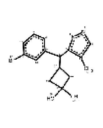 Cn1cnnc1C(c1cccc(Br)c1)C1CC(C)(O)C1